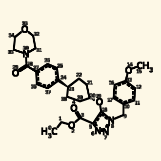 CCOC(=O)c1nnn(Cc2ccc(OC)cc2)c1O[C@H]1CC[C@H](c2ccc(C(=O)N3CCOCC3)cc2)CC1